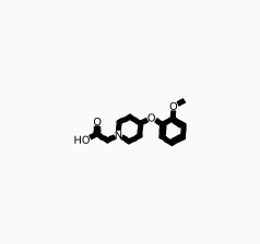 COc1ccccc1OC1CCN(CC(=O)O)CC1